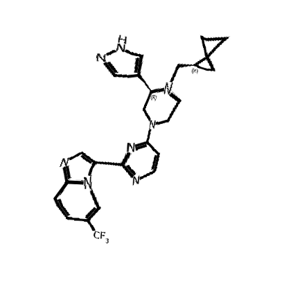 FC(F)(F)c1ccc2ncc(-c3nccc(N4CCN(C[C@@H]5CC56CC6)[C@H](c5cn[nH]c5)C4)n3)n2c1